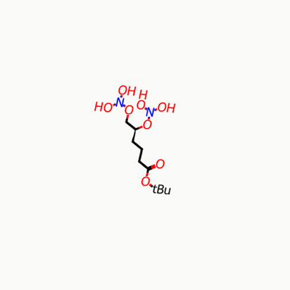 CC(C)(C)OC(=O)CCC[C@@H](CON(O)O)ON(O)O